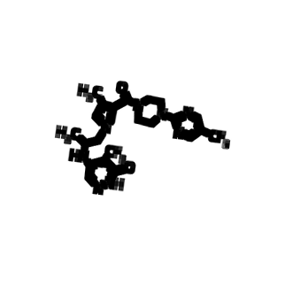 Cc1cn(CC(C)Nc2cn[nH]c(=O)c2C(F)(F)F)cc1C(=O)N1CCN(c2ncc(C(F)(F)F)cn2)CC1